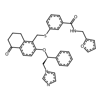 O=C(NCc1ccco1)c1cccc(SCc2c(O[C@H](Cn3ccnc3)c3ccccc3)ccc3c2CCCC3=O)c1